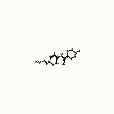 CC1CCC(C(=O)Oc2ccc(/C=C/C(=O)O)cc2)CC1